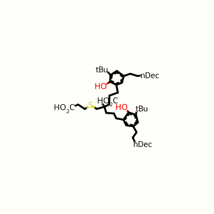 CCCCCCCCCCCCc1cc(CCCC(CCCc2cc(CCCCCCCCCCCC)cc(C(C)(C)C)c2O)(CSCCC(=O)O)C(=O)O)c(O)c(C(C)(C)C)c1